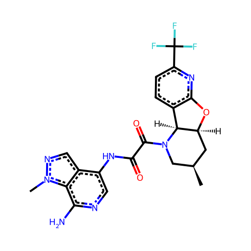 C[C@@H]1C[C@@H]2Oc3nc(C(F)(F)F)ccc3[C@@H]2N(C(=O)C(=O)Nc2cnc(N)c3c2cnn3C)C1